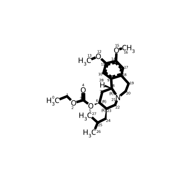 CCOC(=O)O[C@@H]1C[C@@H]2c3cc(OC)c(OC)cc3CCN2C[C@H]1CC(C)C